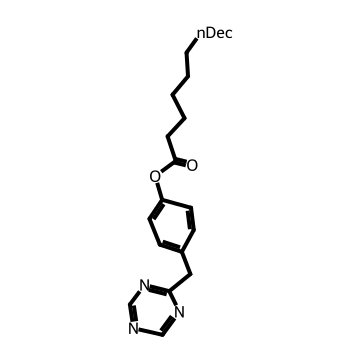 CCCCCCCCCCCCCCCC(=O)Oc1ccc(Cc2ncncn2)cc1